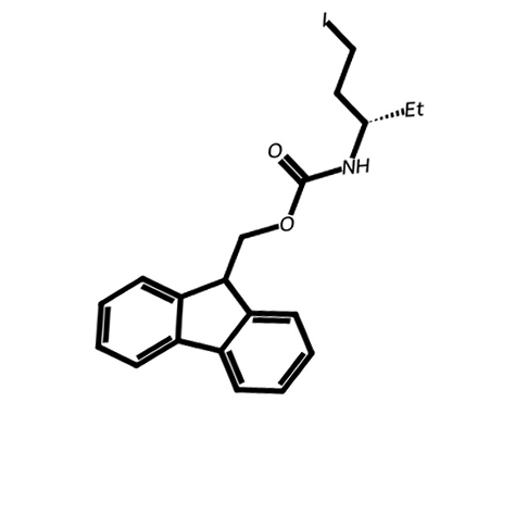 CC[C@@H](CCI)NC(=O)OCC1c2ccccc2-c2ccccc21